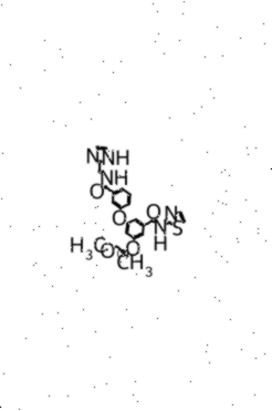 COC[C@H](C)Oc1cc(Oc2cccc(C(=O)NCc3ncc[nH]3)c2)cc(C(=O)Nc2nccs2)c1